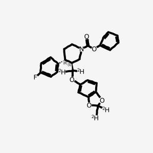 [2H]C1([2H])Oc2ccc(OC([2H])([2H])[C@@H]3CN(C(=O)Oc4ccccc4)CC[C@H]3c3ccc(F)cc3)cc2O1